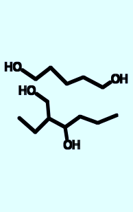 CCCC(O)C(CC)CO.OCCCCCO